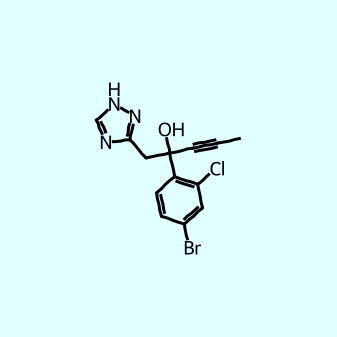 CC#CC(O)(Cc1nc[nH]n1)c1ccc(Br)cc1Cl